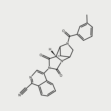 Cc1cccc(C(=O)N2CC3CC2[C@H]2C(=O)N(c4cnc(C#N)c5ccccc45)C(=O)N32)c1